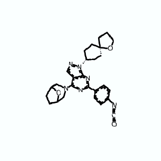 O=C=Nc1ccc(-c2nc(N3CC4CCC(C3)O4)c3cnn([C@H]4CC[C@@]5(CCCO5)CC4)c3n2)cc1